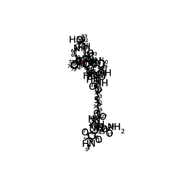 CCNC1=C(C)C(=O)C2=C(C1=O)[C@@H](COC(N)=O)[C@@]1(OC)[C@@H]3[C@H](CN21)N3C(=O)OCCSSCCOC(=O)NNC(=O)[C@@]1(O)[C@H](O)[C@]2(CC)C=CCN3CC[C@@]4(c5cc([C@@]6(C(=O)OC)C[C@@H]7CN(CCc8c6[nH]c6ccccc86)C[C@](O)(CC)C7)c(OC)cc5N(C)[C@@H]14)[C@@H]32